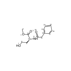 COC(=O)[C@H](CCO)NC(=O)Cc1ccccc1